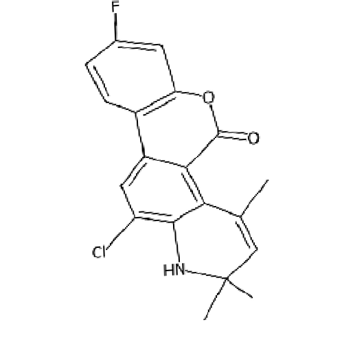 CC1=CC(C)(C)Nc2c(Cl)cc3c(c21)c(=O)oc1cc(F)ccc13